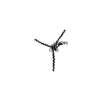 CCCCCCCCCCCCCCCC(=O)N(C(=O)CCCCCCCCCCCCCCC)[C@]([C]=O)(CSCC(O)CO)C(=O)CCCCCCCCCCCCCCC